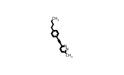 CCCCc1ccc(C#Cc2ccc(C)nn2)cc1